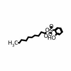 CCCCCCCCCC(=O)OS(=O)(=O)c1ccccc1O